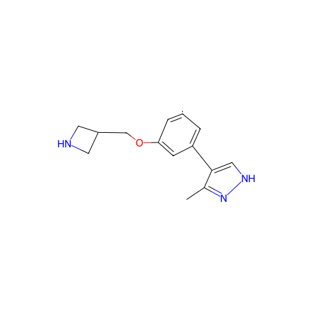 Cc1n[nH]cc1-c1c[c]cc(OCC2CNC2)c1